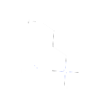 CCCCCCCC[N+](C)(C)C.N.[Br-]